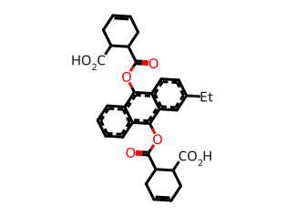 CCc1ccc2c(OC(=O)C3CC=CCC3C(=O)O)c3ccccc3c(OC(=O)C3CC=CCC3C(=O)O)c2c1